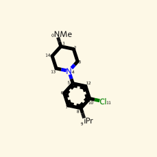 CNC1CCN(c2ccc(C(C)C)c(Cl)c2)CC1